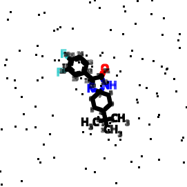 CC(C)(C)C1CCC2(CC1)N=C(c1ccc(F)c(F)c1)C(=O)N2